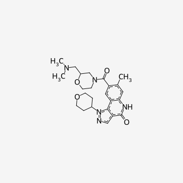 Cc1cc2[nH]c(=O)c3cnn(C4CCOCC4)c3c2cc1C(=O)N1CCOC(CN(C)C)C1